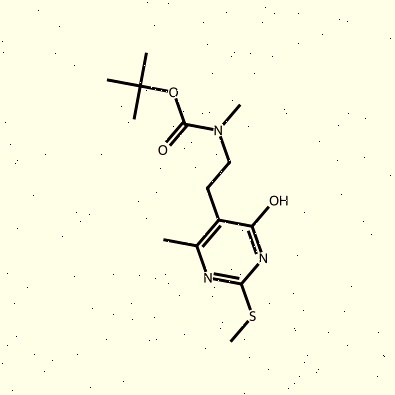 CSc1nc(C)c(CCN(C)C(=O)OC(C)(C)C)c(O)n1